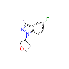 Fc1ccc2c(c1)c(I)nn2[C@H]1CCOC1